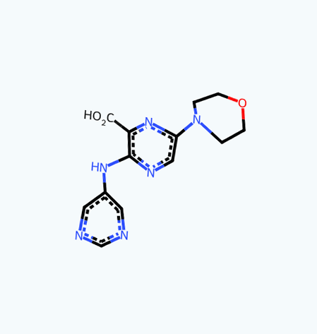 O=C(O)c1nc(N2CCOCC2)cnc1Nc1cncnc1